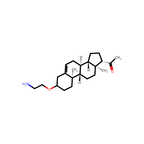 CC(=O)[C@H]1CC[C@H]2[C@@H]3CC=C4CC(OCCN)CC[C@]4(C)[C@H]3CC[C@]12C